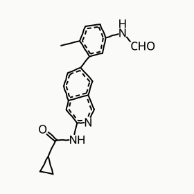 Cc1ccc(NC=O)cc1-c1ccc2cc(NC(=O)C3CC3)ncc2c1